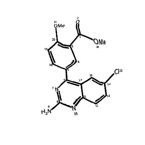 COC(=O)c1cc(-c2nc(N)nc3ccc(Cl)cc23)ccc1OC